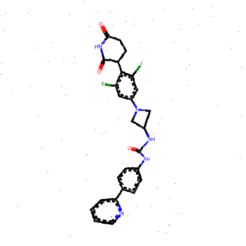 O=C1CCC(c2c(F)cc(N3CC(NC(=O)Nc4ccc(-c5ccccn5)cc4)C3)cc2F)C(=O)N1